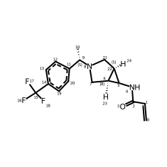 C=CC(=O)NC1[C@H]2CN([C@@H](C)c3ccc(C(F)(F)F)cc3)C[C@@H]12